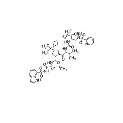 C=C[C@@H]1C[C@]1(NC(=O)[C@@H]1C[C@@]2(CN1C(=O)[C@@H](NC(=O)N[C@H](CN(C)S(=O)(=O)c1ccccn1)C(C)(C)C)C(C)C)C(C)(C)C21CCC1)C(=O)NS(=O)(=O)c1cccc2cc[nH]c12